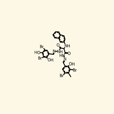 Cc1c(Br)cc(/C=N/NC(=O)C(Nc2ccc3ccccc3c2)C(=O)N/N=C/c2cc(Br)c(O)c(Br)c2O)c(O)c1Br